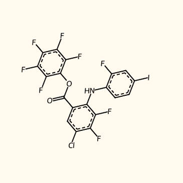 O=C(Oc1c(F)c(F)c(F)c(F)c1F)c1cc(Cl)c(F)c(F)c1Nc1ccc(I)cc1F